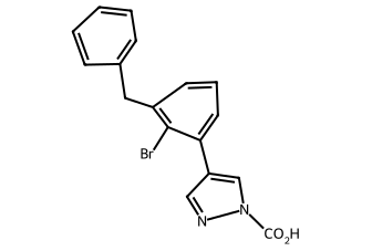 O=C(O)n1cc(-c2cccc(Cc3ccccc3)c2Br)cn1